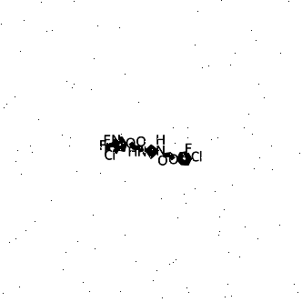 O=C(COc1ccc(Cl)c(F)c1)NC12CC(NC(=O)COc3cnc(C(F)(F)F)c(Cl)c3)(C1)C2